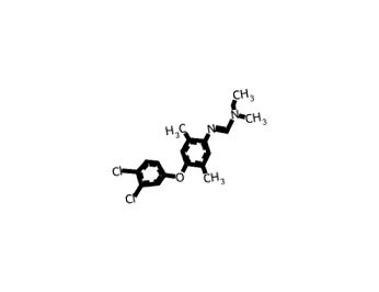 CCN(C)C=Nc1cc(C)c(Oc2ccc(Cl)c(Cl)c2)cc1C